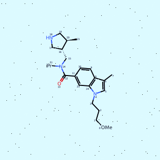 COCCCn1cc(C)c2ccc(C(=O)N(C[C@@H]3CNC[C@H]3C)C(C)C)cc21